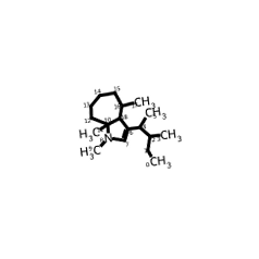 CCC(C)C(C)C1=CN(C)C2(C)CCCCC(C)C12